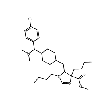 CCCCN1C=NC(CCCC)(C(=O)OC)C1CC1CCC(C(c2ccc(Cl)cc2)N(C)C)CC1